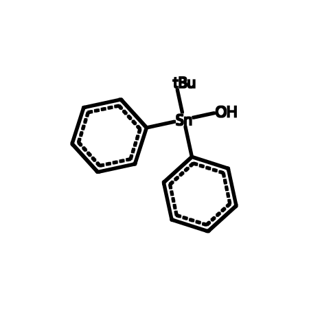 C[C](C)(C)[Sn]([OH])([c]1ccccc1)[c]1ccccc1